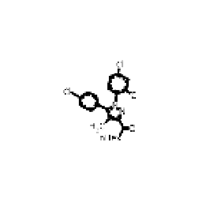 CCCCCCC(=O)c1nn(-c2ccc(Cl)cc2Cl)c(-c2ccc(Cl)cc2)c1C